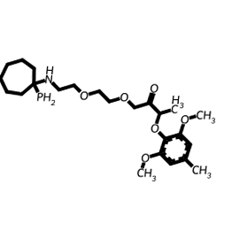 COc1cc(C)cc(OC)c1OC(C)C(=O)COCCOCCNC1(P)CCCCCC1